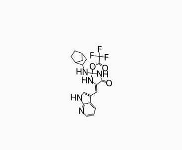 O=C1NC(NC2CC3CCC2C3)(OC(=O)C(F)(F)F)NC1=Cc1c[nH]c2ncccc12